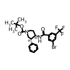 CC(C)(C)OC(=O)N1CC[C@@H](NC(=O)c2cc(Br)cc(C(F)(F)F)c2)[C@H](c2ccccc2)C1